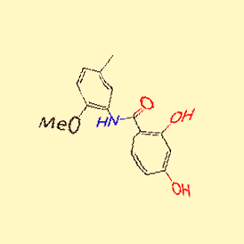 COc1ccc(C)cc1NC(=O)c1ccc(O)cc1O